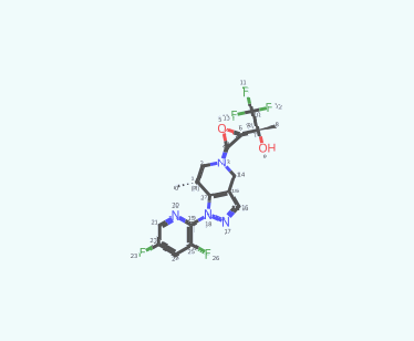 C[C@@H]1CN(C2OC2[C@@](C)(O)C(F)(F)F)Cc2cnn(-c3ncc(F)cc3F)c21